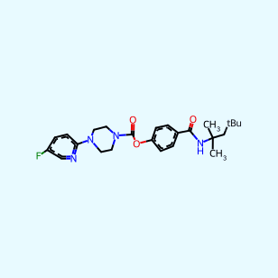 CC(C)(C)CC(C)(C)NC(=O)c1ccc(OC(=O)N2CCN(c3ccc(F)cn3)CC2)cc1